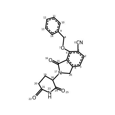 N#Cc1ccc2c(c1OCc1ccccc1)C(=O)N(C1CCC(=O)NC1=O)C2